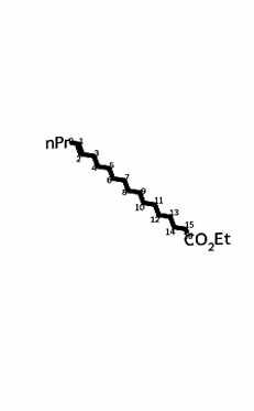 CCCC=CCCCCCCCCCCCCCC(=O)OCC